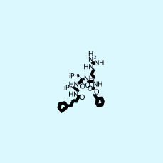 CC(C)C[C@H](NC(=O)[C@H](CCCNC(=N)N)NC(=O)OCc1ccccc1)C(=O)N[C@H](CNC(=O)/C=C/Cc1ccccc1)C(C)C